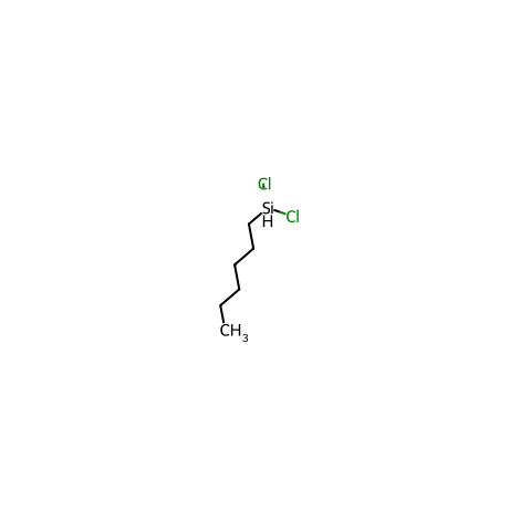 CCCCCC[SiH](Cl)Cl